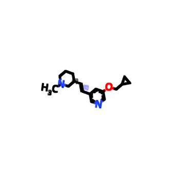 CN1CCC[C@@H](/C=C/c2cncc(OCC3CC3)c2)C1